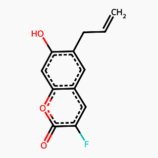 C=CCc1cc2cc(F)c(=O)oc2cc1O